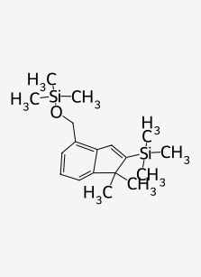 CC1(C)C([Si](C)(C)C)=Cc2c(CO[Si](C)(C)C)cccc21